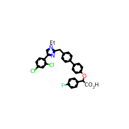 CCn1cc(-c2ccc(Cl)cc2Cl)nc1Cc1ccc(-c2ccc(OC(C(=O)O)c3ccc(F)cc3)cc2)cc1